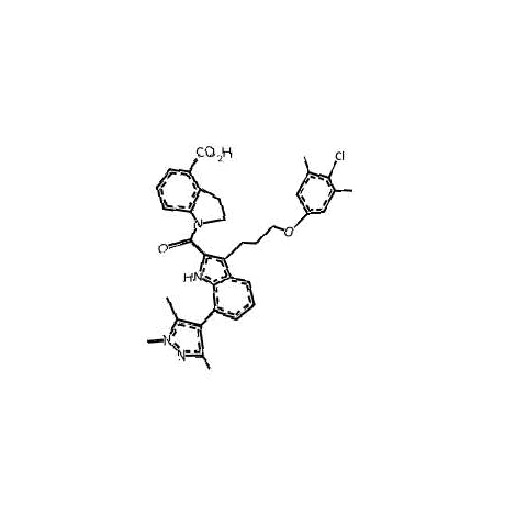 Cc1cc(OCCCc2c(C(=O)N3CCc4c(C(=O)O)cccc43)[nH]c3c(-c4c(C)nn(C)c4C)cccc23)cc(C)c1Cl